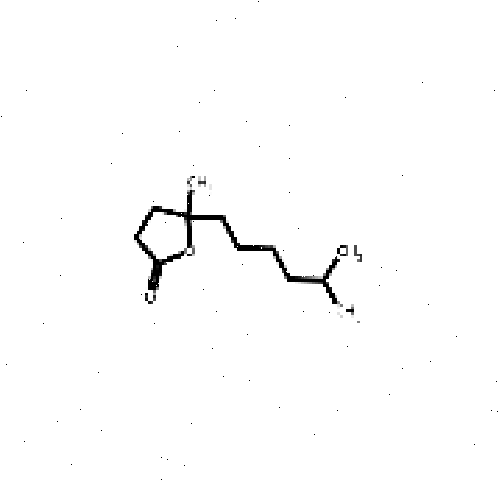 CC(C)CCCCC1(C)CCC(=O)O1